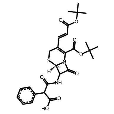 CC(C)(C)OC(=O)C=CC1=C(C(=O)OC(C)(C)C)N2C(=O)C(NC(=O)C(C(=O)O)c3ccccc3)[C@@H]2SC1